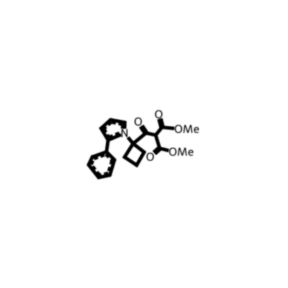 COC(=O)C(C(=O)OC)C(=O)C1(n2cccc2-c2ccccc2)CCC1